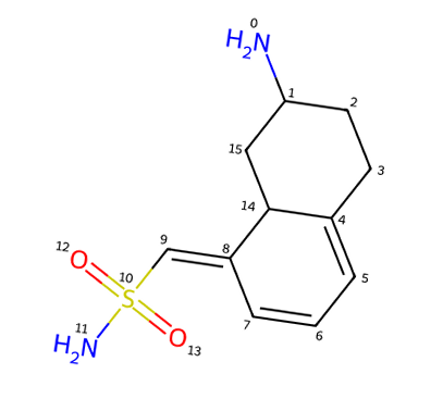 NC1CCC2=CC=CC(=CS(N)(=O)=O)C2C1